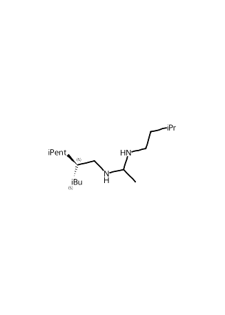 CCCC(C)[C@@H](CNC(C)NCCC(C)C)[C@@H](C)CC